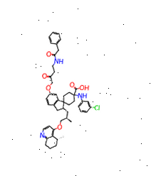 C[C@@H](COc1ccnc2c1[C@H](C)CCC2)CC1Cc2ccc(OCC(=O)CCNC(=O)Cc3ccccc3)cc2C12CCC(Nc1cccc(Cl)c1)(C(=O)O)CC2